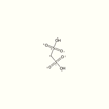 O=S(=O)(O)[CH]S(=O)(=O)O